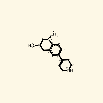 C[C@@H]1Cc2cc(C3=CCNCC3)ccc2N(C)C1